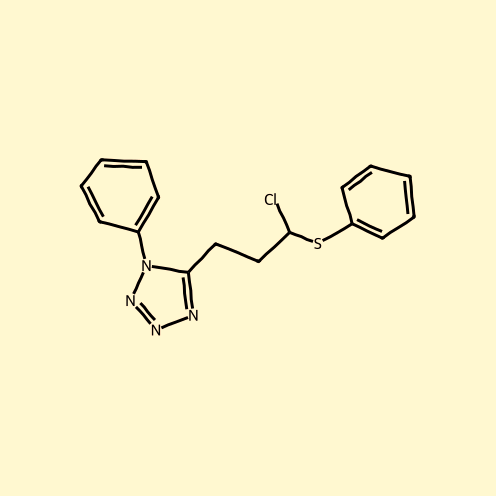 ClC(CCc1nnnn1-c1ccccc1)Sc1ccccc1